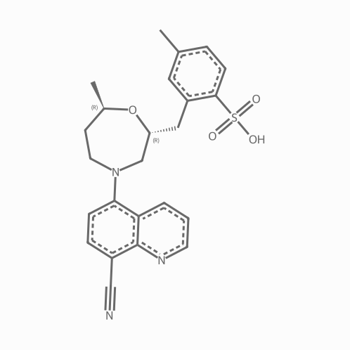 Cc1ccc(S(=O)(=O)O)c(C[C@@H]2CN(c3ccc(C#N)c4ncccc34)CC[C@@H](C)O2)c1